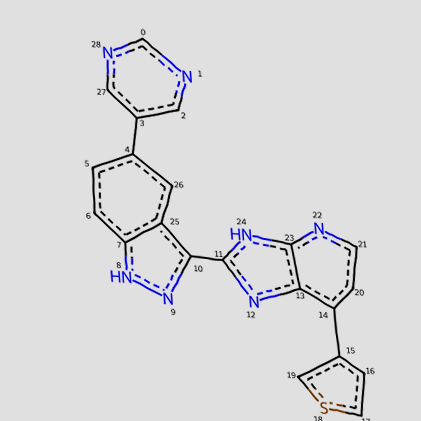 c1ncc(-c2ccc3[nH]nc(-c4nc5c(-c6ccsc6)ccnc5[nH]4)c3c2)cn1